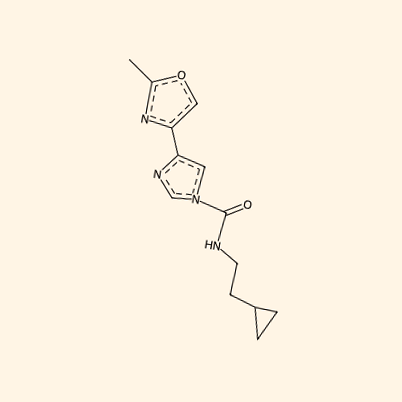 Cc1nc(-c2cn(C(=O)NCCC3CC3)cn2)co1